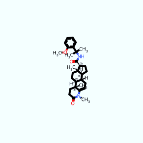 COc1ccccc1C(C)(C)NC(=O)[C@H]1CC[C@H]2[C@@H]3CC=C4N(C)C(=O)CC[C@]4(C)[C@H]3CC[C@]12C